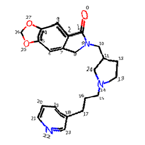 O=C1c2cc3c(cc2CN1CC1CCN(CCCc2cccnc2)C1)OCO3